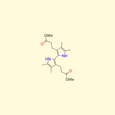 COC(=O)CCc1c(-c2[nH]c(C)c(C)c2CCC(=O)OC)[nH]c(C)c1C